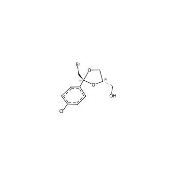 OC[C@H]1CO[C@@](CBr)(c2ccc(Cl)cc2)O1